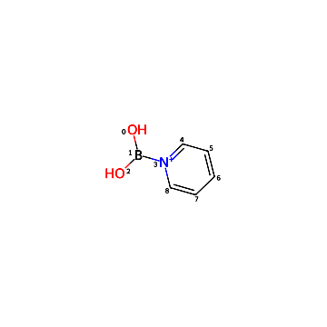 OB(O)[n+]1ccccc1